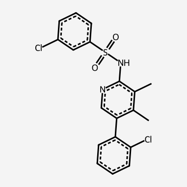 Cc1c(-c2ccccc2Cl)cnc(NS(=O)(=O)c2cccc(Cl)c2)c1C